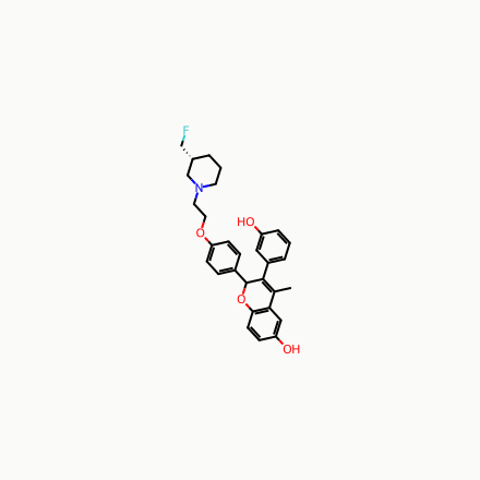 CC1=C(c2cccc(O)c2)C(c2ccc(OCCN3CCC[C@@H](CF)C3)cc2)Oc2ccc(O)cc21